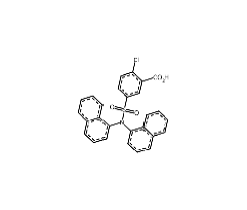 O=C(O)c1cc(S(=O)(=O)N(c2cccc3ccccc23)c2cccc3ccccc23)ccc1Cl